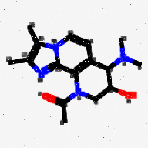 CC(=O)N1C[C@H](O)[C@H](N(C)C)c2ccn3c(C)c(C)nc3c21